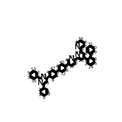 c1ccc(-c2cc(-c3ccc(-c4ccc(-c5ccc(-c6cc(-c7ccccc7-c7ccccc7)cc(-c7ccccn7)n6)nc5)cc4)cc3)nc(-c3ccccc3)n2)cc1